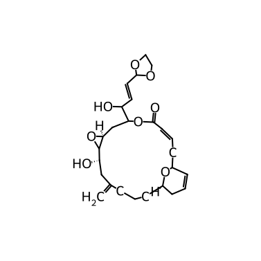 C=C1CCC[C@@H]2CC=CC(C/C=C\C(=O)OC(C(O)/C=C/C3OCCO3)C[C@@H]3OC3[C@@H](O)C1)O2